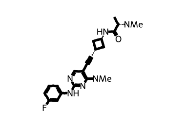 CNc1nc(Nc2cccc(F)c2)ncc1C#C[C@H]1C[C@@H](NC(=O)[C@H](C)NC)C1